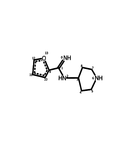 N=C(NC1CCNCC1)c1ccco1